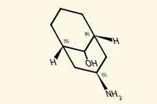 N[C@@H]1C[C@H]2CCC[C@@H](C1)C2O